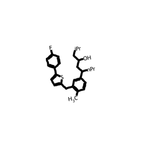 CCCC(CC(O)CC(C)C)c1ccc(C)c(Cc2ccc(-c3ccc(F)cc3)s2)c1